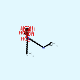 CCCCCCCC/C=C\CCCCCCCCCCCCCCCC(=O)N[C@@H](CO[C@@H]1OC(CO)[C@@H](O[C@@H]2OC(CO)[C@H](O)[C@H](O)C2O)[C@H](O)C1O)[C@H](O)CCCCCCCCCCCCCCC